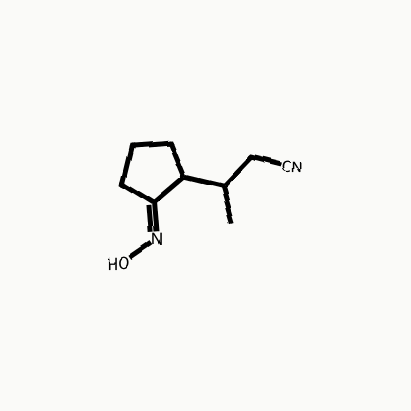 CC(CC#N)C1CCCC1=NO